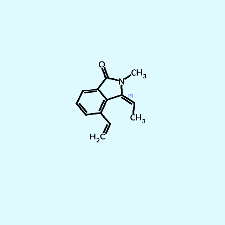 C=Cc1cccc2c1/C(=C\C)N(C)C2=O